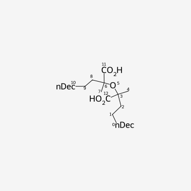 CCCCCCCCCCCCC(C)(OC(C)(CCCCCCCCCCCC)C(=O)O)C(=O)O